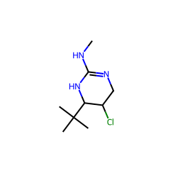 CNC1=NCC(Cl)C(C(C)(C)C)N1